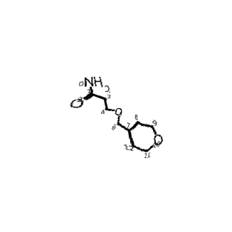 NC(=O)CCOCC1CCOCC1